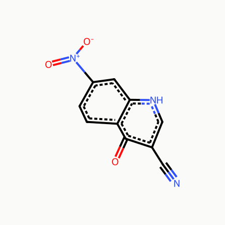 N#Cc1c[nH]c2cc([N+](=O)[O-])ccc2c1=O